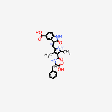 Cc1[nH]c(/C=C2\C(=O)Nc3ccc(C(=O)O)cc32)c(C)c1C(=O)N[C@H](Cc1ccccc1)C(=O)O